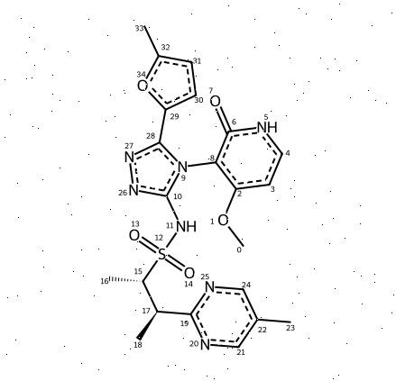 COc1cc[nH]c(=O)c1-n1c(NS(=O)(=O)[C@@H](C)[C@H](C)c2ncc(C)cn2)nnc1-c1ccc(C)o1